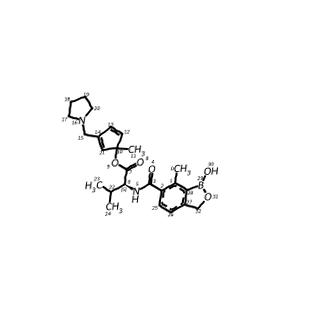 Cc1c(C(=O)N[C@H](C(=O)OC2(C)C=CC(CN3CCCC3)=C2)C(C)C)ccc2c1B(O)OC2